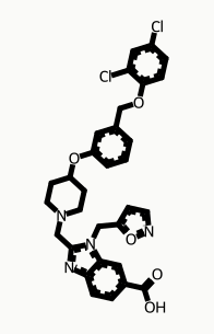 O=C(O)c1ccc2nc(CN3CCC(Oc4cccc(COc5ccc(Cl)cc5Cl)c4)CC3)n(Cc3ccno3)c2c1